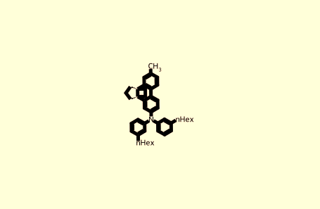 CCCCCCc1cccc(N(c2cccc(CCCCCC)c2)c2ccc3c(c2)[C@@]24CCC[C@@]2(CC4)c2cc(C)ccc2-3)c1